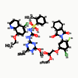 CCCCCOC(=O)COc1cc(N2C(=O)C3=C(CCCC3)C2=O)c(F)cc1Cl.CCOc1nc(NC)nc(NC(=O)NS(=O)(=O)c2ccccc2C(=O)O)n1.O=C(O)COc1ccc(Cl)c2cccnc12